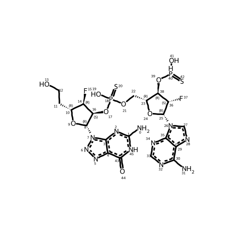 Nc1nc2c(nnn2[C@@H]2O[C@H](CCO)[C@@H](F)[C@H]2OP(O)(=S)OC[C@H]2O[C@@H](n3cnc4c(N)ncnc43)[C@@H](F)[C@@H]2O[PH](O)=S)c(=O)[nH]1